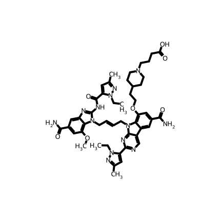 CCn1nc(C)cc1C(=O)Nc1nc2cc(C(N)=O)cc(OC)c2n1C/C=C/Cn1c2nc(-c3cc(C)nn3CC)ncc2c2cc(C(N)=O)cc(OCCC3CCN(CCCC(=O)O)CC3)c21